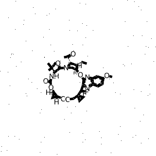 CC[C@@H]1[C@@H]2CN(C(=O)[C@H](C(C)(C)C)NC(=O)O[C@@H]3C[C@H]3CCCC3(CC3)C(F)(F)c3nc4ccc(OC)cc4nc3O2)[C@@H]1C(C)=O